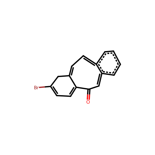 O=C1/C=c2/cccc/c2=C/C=C2/CC(Br)=CC=C12